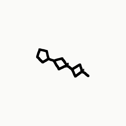 CN1CC(N2CC(C3CCCC3)C2)C1